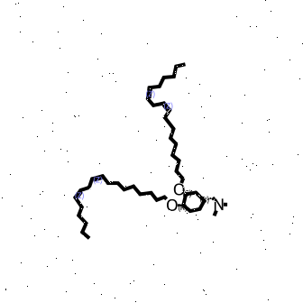 CCCCC/C=C\C/C=C\CCCCCCCCO[C@H]1C[C@H](CN(C)C)CC[C@H]1OCCCCCCCC/C=C\C/C=C\CCCCC